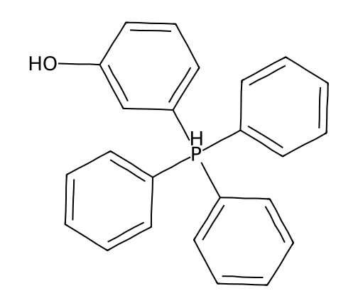 Oc1cccc([PH](c2ccccc2)(c2ccccc2)c2ccccc2)c1